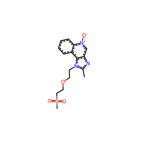 Cc1nc2c[n+]([O-])c3ccccc3c2n1CCOCCS(C)(=O)=O